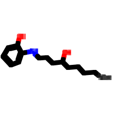 CCCCCCCCCCCCCCC(O)CCCNc1ccccc1O